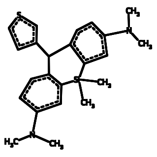 CN(C)c1ccc2c(c1)[Si](C)(C)c1cc(N(C)C)ccc1C2c1ccsc1